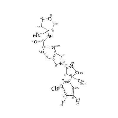 N#CC1(NC(=O)c2ncc3c(n2)CN(C2=NOC(c4cc(Cl)c(F)c(Cl)c4)(C(F)(F)F)C2)C3)CCOCC1